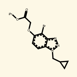 CC(C)OC(=O)COc1ccc2c(nnn2CC2CC2)c1Br